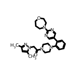 Cc1cc(C)n(CC(=O)N2CCN(c3ccccc3-c3cnc(N4CCCOCC4)nc3)CC2)n1